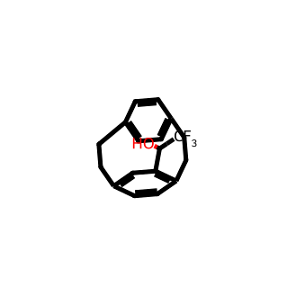 OC(c1cc2ccc1CCc1ccc(cc1)CC2)C(F)(F)F